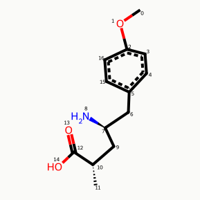 COc1ccc(C[C@H](N)C[C@H](C)C(=O)O)cc1